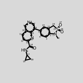 CN1c2ccc(-c3cncc4ccc(C(=O)NC5CC5)nc34)cc2CS1(=O)=O